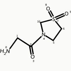 NCC(=O)N1CCS(=O)(=O)C1